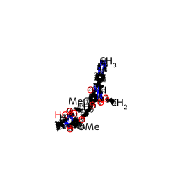 C=CCOC(=O)N1C[C@@H]2CC(c3ccc(N4CCN(C)CC4)cc3)=CN2C(=O)c2cc(OC)c(OCCCCCOc3cc4c(cc3OC)C(=O)N3CC5(CC5)C[C@H]3C(O)N4C(=O)OCC=C)cc21